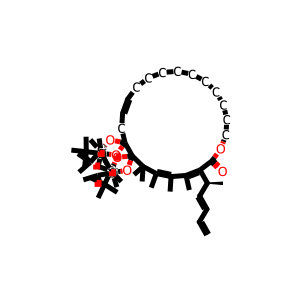 C=CC=C[C@H](C)C1=C(C)C(C)=C(C)C(C)(C)C(O[Si](C)(C)C(C)(C)C)(O[Si](C)(C)C(C)(C)C)C(O[Si](C)(C)C(C)(C)C)(O[Si](C)(C)C(C)(C)C)CC=CCCCCCCCCCCOC1=O